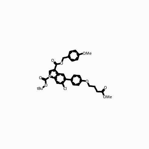 COC(=O)CCCOc1ccc(-c2cc3c(C(=O)OCc4ccc(OC)cc4)cn(C(=O)OC(C)(C)C)c3cc2Cl)cc1